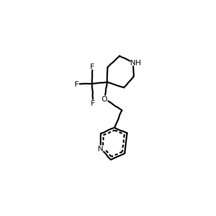 FC(F)(F)C1(OCc2cccnc2)CCNCC1